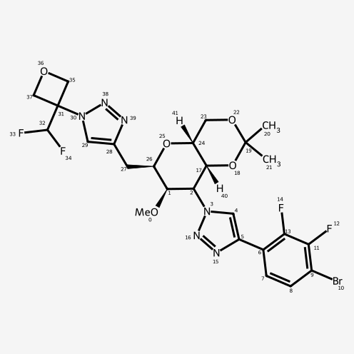 CO[C@@H]1C(n2cc(-c3ccc(Br)c(F)c3F)nn2)[C@H]2OC(C)(C)OC[C@H]2O[C@@H]1Cc1cn(C2(C(F)F)COC2)nn1